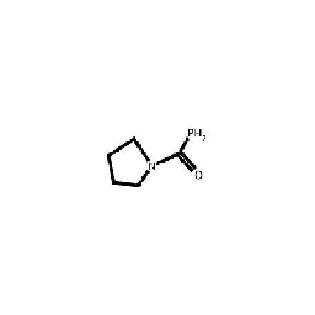 O=C(P)N1CCCC1